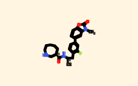 Cn1c(=O)oc2ccc(-c3ccc(C[C@@H](C#N)NC(=O)[C@H]4CCCCCNC4)c(F)c3)cc21